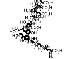 CC(C)C[C@H](N)C(=O)O.CC(C)[C@H](N)C(=O)O.CSCC[C@H](N)C(=O)O.C[C@@H](O)[C@H](N)C(=O)O.N=C(N)NCCC[C@H](N)C(=O)O.NC(=O)CC[C@H](N)C(=O)O.NC(=O)C[C@H](N)C(=O)O.N[C@@H](CO)C(=O)O.N[C@@H](Cc1c[nH]c2ccccc12)C(=O)O.N[C@@H](Cc1ccc(O)cc1)C(=O)O.O=C(O)[C@@H]1CCCN1